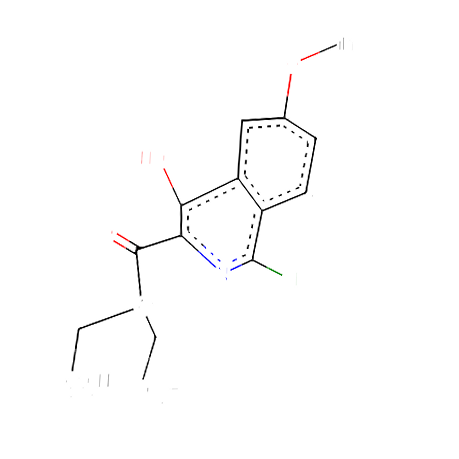 CC(C)Oc1ccc2c(Cl)nc(C(=O)[As](CC(=O)O)CC(=O)O)c(O)c2c1